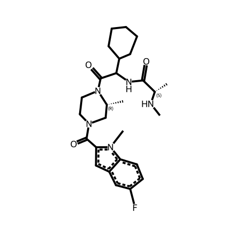 CN[C@@H](C)C(=O)NC(C(=O)N1CCN(C(=O)c2cc3cc(F)ccc3n2C)C[C@H]1C)C1CCCCC1